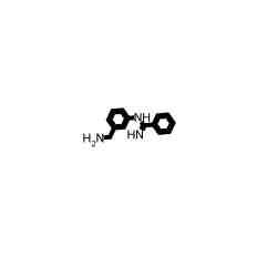 N=C(Nc1cccc(CN)c1)c1ccccc1